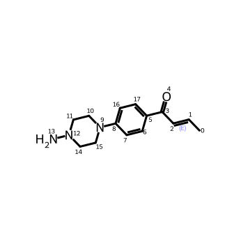 C/C=C/C(=O)c1ccc(N2CCN(N)CC2)cc1